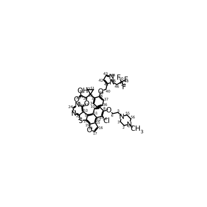 CN1CCN(CCOc2ccc3c(c2Cl)c2ccoc2c2sc4ncnc(OC(C(=O)O)C5(c6ccccc6OCc6ccnn6CC(F)(F)F)CC5)c4c32)CC1